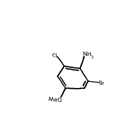 COc1cc(Cl)c(N)c(Br)c1